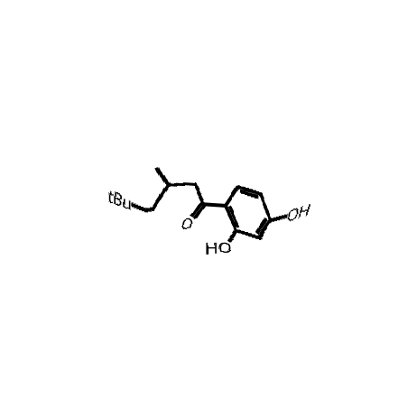 CC(CC(=O)c1ccc(O)cc1O)CC(C)(C)C